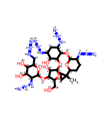 CC1(C2CCC(N=[N+]=[N-])C(OC3C(N=[N+]=[N-])CC(N=[N+]=[N-])C(O)C3OC3OC(CO)C(OC4OC(CN=[N+]=[N-])C(O)C(O)C4N=[N+]=[N-])C3O)O2)CC1